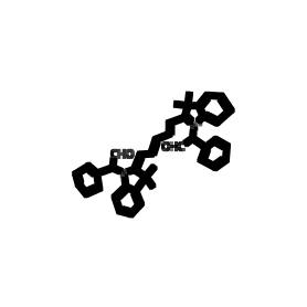 CC1(C)C(/C=C/C=C/C=C2/N(C(C=O)c3ccccc3)c3ccccc3C2(C)C)=[N+](C(C=O)c2ccccc2)c2ccccc21